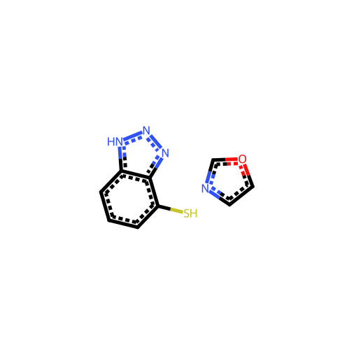 Sc1cccc2[nH]nnc12.c1cocn1